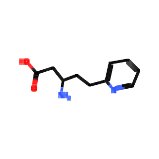 NC(CCc1ccccn1)CC(=O)O